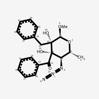 CO[C@H]1O[C@H](C)[C@@H](N=[N+]=[N-])[C@@](O)(C(=O)c2ccccc2)[C@@]1(O)Cc1ccccc1